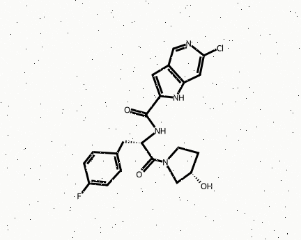 O=C(N[C@@H](Cc1ccc(F)cc1)C(=O)N1CC[C@H](O)C1)c1cc2cnc(Cl)cc2[nH]1